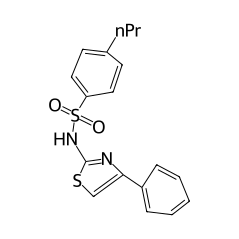 CCCc1ccc(S(=O)(=O)Nc2nc(-c3ccccc3)cs2)cc1